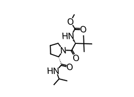 COC(=O)N[C@H](C(=O)N1CCC[C@H]1C(=O)NC(C)C)C(C)(C)C